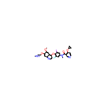 CNCCOc1cc2nccc(Oc3c(F)cc(N(C)C(=O)c4cnccc4OC4CC4)cc3I)c2cc1OC